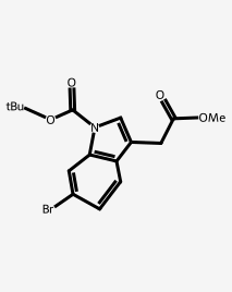 COC(=O)Cc1cn(C(=O)OC(C)(C)C)c2cc(Br)ccc12